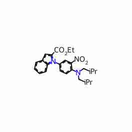 CCOC(=O)c1cc2ccccc2n1-c1ccc(N(CC(C)C)CC(C)C)c([N+](=O)[O-])c1